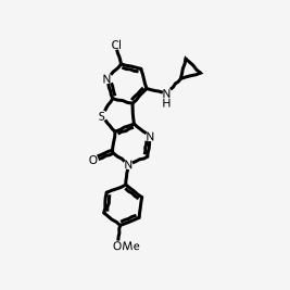 COc1ccc(-n2cnc3c(sc4nc(Cl)cc(NC5CC5)c43)c2=O)cc1